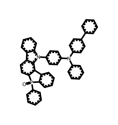 O=P1(c2ccccc2)c2ccccc2-c2c1ccc1c3ccccc3n(-c3ccc(N(c4ccccc4)c4ccc(-c5ccccc5)cc4)cc3)c21